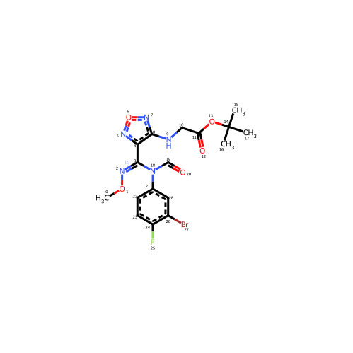 CO/N=C(/c1nonc1NCC(=O)OC(C)(C)C)N(C=O)c1ccc(F)c(Br)c1